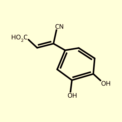 N#CC(=CC(=O)O)c1ccc(O)c(O)c1